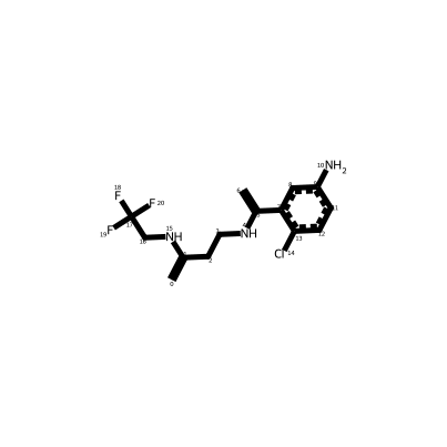 C=C(CCNC(=C)c1cc(N)ccc1Cl)NCC(F)(F)F